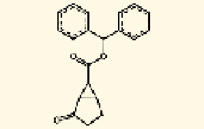 O=C1CCC2C1C2C(=O)OC(c1ccccc1)c1ccccc1